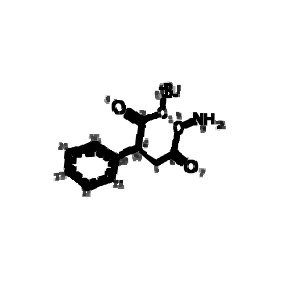 CC(C)(C)OC(=O)[C@@H](CC(=O)ON)c1ccccc1